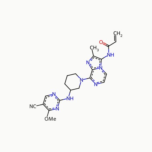 C=CC(=O)Nc1c(C)nc2c(N3CCCC(Nc4ncc(C#N)c(OC)n4)C3)nccn12